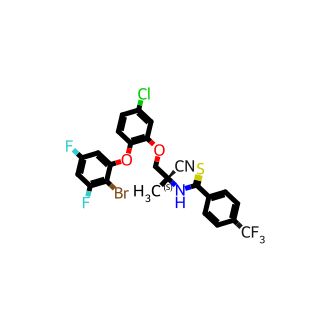 C[C@](C#N)(COc1cc(Cl)ccc1Oc1cc(F)cc(F)c1Br)NC(=S)c1ccc(C(F)(F)F)cc1